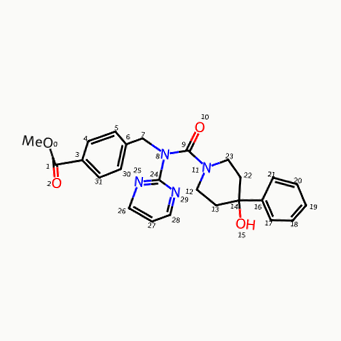 COC(=O)c1ccc(CN(C(=O)N2CCC(O)(c3ccccc3)CC2)c2ncccn2)cc1